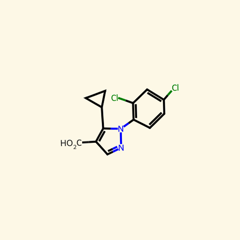 O=C(O)c1cnn(-c2ccc(Cl)cc2Cl)c1C1CC1